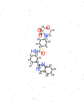 Cc1ccc(N[S+]([O-])c2ccc(N3CCOCS3(=O)=O)cc2)cc1-c1ncc2ccccc2n1